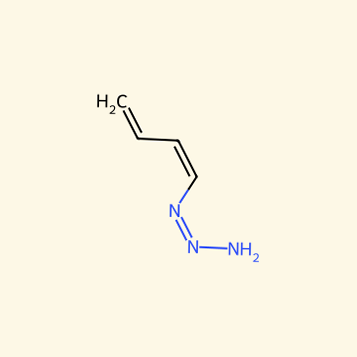 C=C/C=C\N=N/N